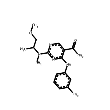 COCC(C)N(N)c1ncc(C(N)=O)c(Nc2cccc(C)c2)n1